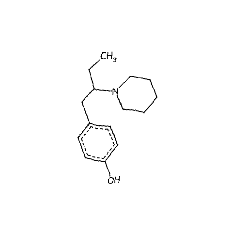 CCC(Cc1ccc(O)cc1)N1CCCCC1